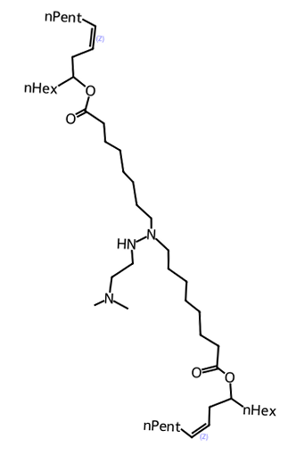 CCCCC/C=C\CC(CCCCCC)OC(=O)CCCCCCCN(CCCCCCCC(=O)OC(C/C=C\CCCCC)CCCCCC)NCCN(C)C